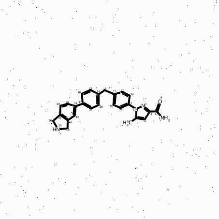 Cc1cc(C(N)=O)nn1-c1ccc(Cc2ccc(-c3ccc4c(c3)CNC4)cc2)cc1